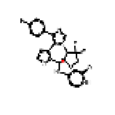 O=C(Nc1cc[nH]c(=O)c1)c1occc1-c1c(-c2ccc(F)cc2)ncn1C1COCC1(F)F